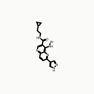 CC(C)Nc1c(C(=O)NCCC2CC2)cnc2ccc(-c3cn[nH]c3)nc12